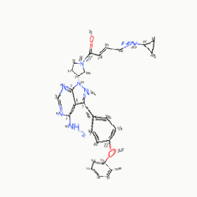 Nc1ncnc2c1c(-c1ccc(Oc3ccccc3)cc1)nn2C1CCN(C(=O)/C=C/CNC2CC2)C1